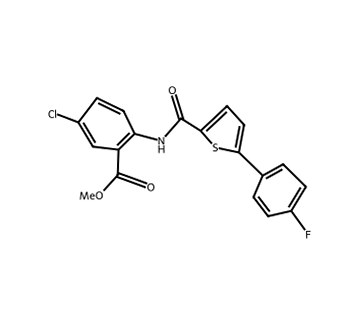 COC(=O)c1cc(Cl)ccc1NC(=O)c1ccc(-c2ccc(F)cc2)s1